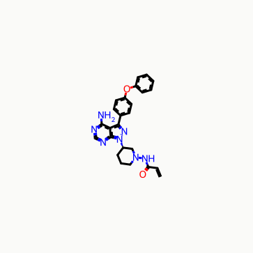 C=CC(=O)NN1CCC[C@@H](n2nc(-c3ccc(Oc4ccccc4)cc3)c3c(N)ncnc32)C1